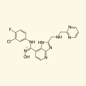 O/N=C(/Nc1ccc(F)c(Cl)c1)c1ccnc2nc(CNCc3ncccn3)[nH]c12